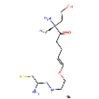 CC[C@H](C)C(COC=CCCC(=O)[C@](N)(CCO)C(=O)O)NCC(N)CS